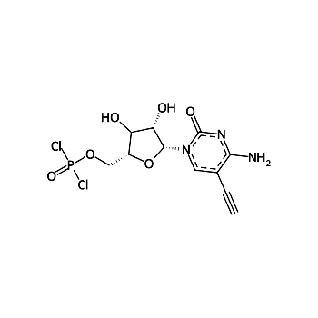 C#Cc1cn([C@@H]2O[C@H](COP(=O)(Cl)Cl)C(O)[C@@H]2O)c(=O)nc1N